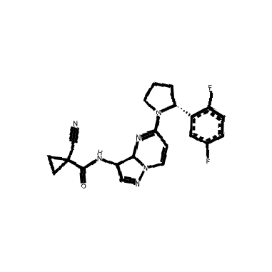 N#CC1(C(=O)NC2C=NN3C=CC(N4CCC[C@@H]4c4cc(F)ccc4F)=NC23)CC1